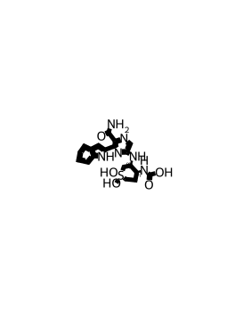 NC(=O)c1ncc(N[C@@H]2CS(O)(O)CC[C@@H]2NC(=O)O)nc1-c1cc2ccccc2[nH]1